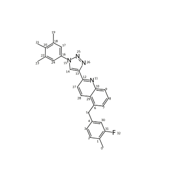 Cc1ccc(Cc2cccc3nc(-c4cn(-c5cc(C)c(C)c(C)c5)nn4)ccc23)cc1F